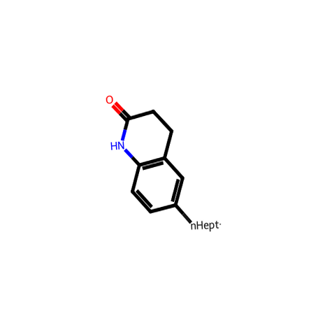 CCCCCC[CH]c1ccc2c(c1)CCC(=O)N2